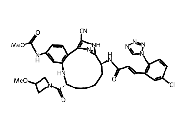 COC(=O)Nc1ccc2c(c1)N[C@@H](C(=O)N1CC(OC)C1)CCCC[C@H](NC(=O)/C=C/c1cc(Cl)ccc1-n1cnnn1)c1nc-2c(C#N)[nH]1